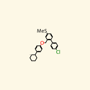 CSc1ccc(-c2ccc(Cl)cc2)c(COc2ccc(C3[CH]CCCC3)cc2)c1